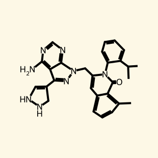 Cc1cccc2cc(Cn3nc(C4=CNNC4)c4c(N)ncnc43)n(-c3ccccc3C(C)C)c(=O)c12